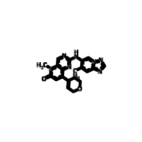 Cc1cc2ncnn2cc1Nc1ncc2c(n1)c(C1=CCOCC1)cc(=O)n2C